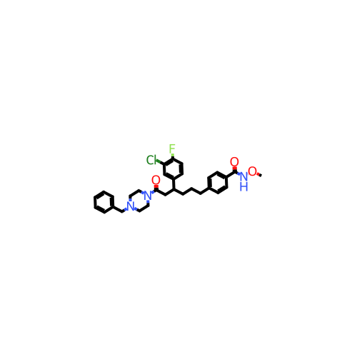 CONC(=O)c1ccc(CCCC(CC(=O)N2CCN(Cc3ccccc3)CC2)c2ccc(F)c(Cl)c2)cc1